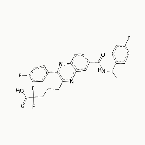 CC(NC(=O)c1ccc2nc(-c3ccc(F)cc3)c(CCCC(F)(F)C(=O)O)nc2c1)c1ccc(F)cc1